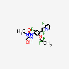 CCn1c(CO)nn(-c2cc(OCC(C)(F)F)c(/C(F)=C/c3ncccc3F)cc2F)c1=O